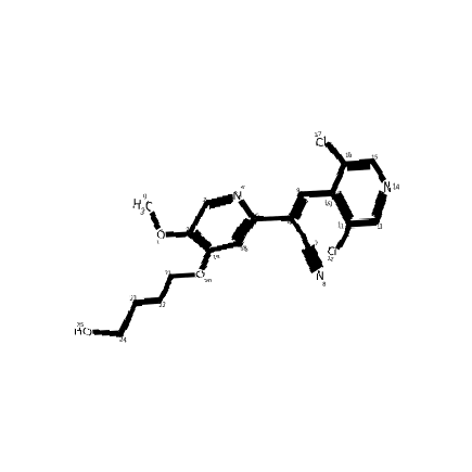 COc1cnc(/C(C#N)=C/c2c(Cl)cncc2Cl)cc1OCCCCO